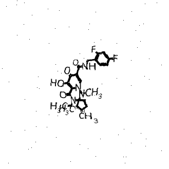 CCN1C(=O)c2c(O)c(=O)c(C(=O)NCc3ccc(F)cc3F)cn2N(C)C12CC[C@H](C)[C@@H]2C